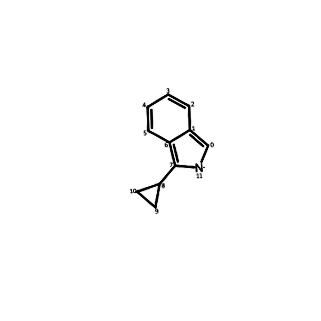 C1=c2ccccc2=C(C2CC2)[N]1